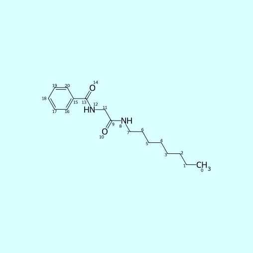 CCCCCCCCNC(=O)CNC(=O)c1ccccc1